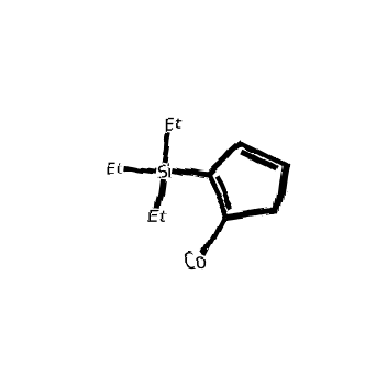 CC[Si](CC)(CC)C1=[C]([Co])CC=C1